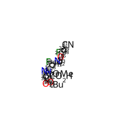 COC(Cn1c(Cc2ccc(-c3cccc(OCc4ccc(C#N)cc4F)n3)cc2F)nc2ccc(C(=O)OC(C)(C)C)cc21)C(=O)O